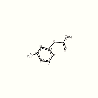 COC(=O)Cc1cncc(C#N)c1